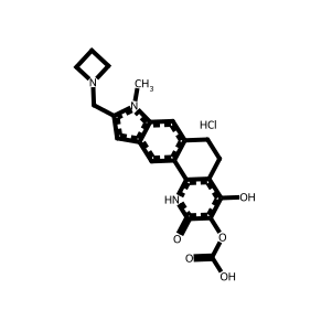 Cl.Cn1c(CN2CCC2)cc2cc3c(cc21)CCc1c-3[nH]c(=O)c(OC(=O)O)c1O